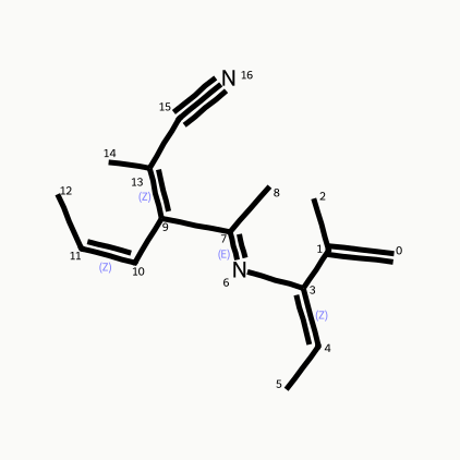 C=C(C)C(=C/C)/N=C(C)/C(/C=C\C)=C(/C)C#N